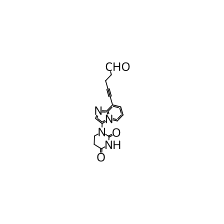 O=CCCC#Cc1cccn2c(N3CCC(=O)NC3=O)cnc12